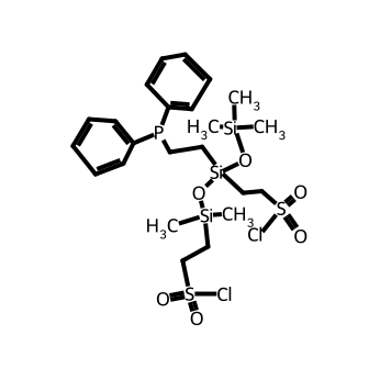 C[Si](C)(C)O[Si](CCP(c1ccccc1)c1ccccc1)(CCS(=O)(=O)Cl)O[Si](C)(C)CCS(=O)(=O)Cl